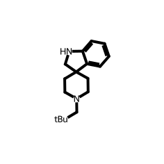 CC(C)(C)CN1CCC2(CC1)CNc1ccccc12